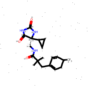 CC(C)(CC1=CCC(C(F)(F)F)C=C1)C(=O)NC[C@@]1(C2CC2)NC(=O)NC1=O